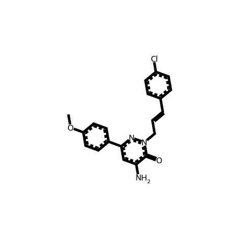 COc1ccc(-c2cc(N)c(=O)n(CC=Cc3ccc(Cl)cc3)n2)cc1